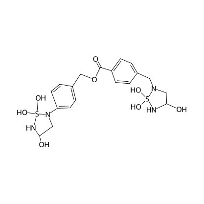 O=C(OCc1ccc(N2CC(O)NS2(O)O)cc1)c1ccc(CN2CC(O)NS2(O)O)cc1